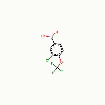 OB(O)c1ccc(OC(F)(F)F)c(Cl)c1